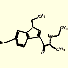 CCNC(C)C(=O)c1cn(CC)c2cc(Br)ccc12